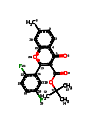 Cc1ccc2c(=O)c(C(=O)OC(C)(C)C)c(-c3cc(F)ccc3F)oc2c1